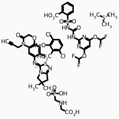 C#CCN1C(=O)COc2cc(F)c(/N=c3\snc4n3CC(C)(C)C4)cc21.COc1c(Cl)ccc(Cl)c1C(=O)O.C[S+](C)C.O=C(Nc1nc(OC(F)F)cc(OC(F)F)n1)NS(=O)(=O)c1ccccc1C(=O)O.O=C(O)CNCP(=O)([O-])O